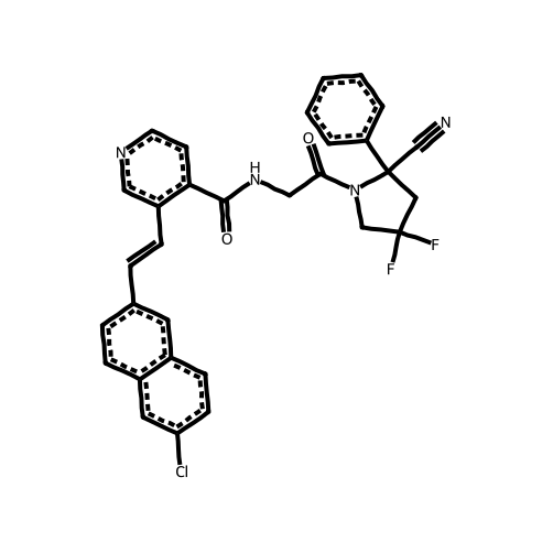 N#CC1(c2ccccc2)CC(F)(F)CN1C(=O)CNC(=O)c1ccncc1C=Cc1ccc2cc(Cl)ccc2c1